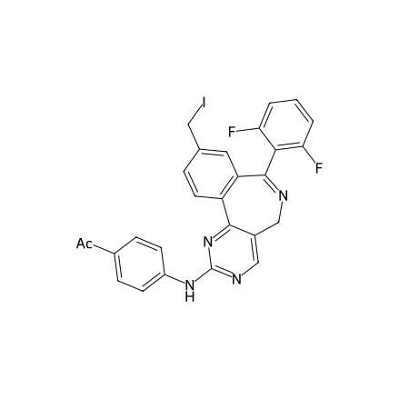 CC(=O)c1ccc(Nc2ncc3c(n2)-c2ccc(CI)cc2C(c2c(F)cccc2F)=NC3)cc1